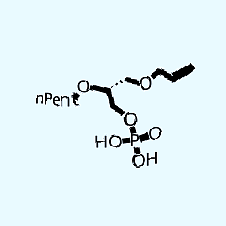 C=CCOC[C@H](COP(=O)(O)O)OCCCCC